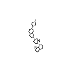 Cc1ccc(-c2ccc3ccc(-c4ccc(-c5cccc6cccnc56)nc4)cc3c2)cc1